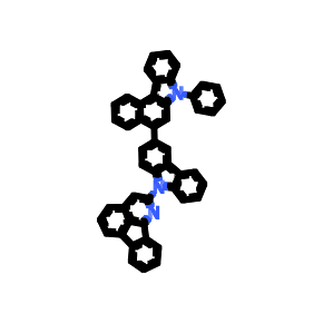 c1ccc(-n2c3ccccc3c3c4ccccc4c(-c4ccc5c(c4)c4ccccc4n5-c4cc5cccc6c5c(n4)-c4ccccc4-6)cc32)cc1